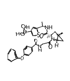 CC(NC(=O)[C@@H]1C[C@]2(C)C[C@@H]2N1C(=O)CNC(=O)c1ccc(Oc2ccccc2)cc1)c1cc(B(O)O)cs1